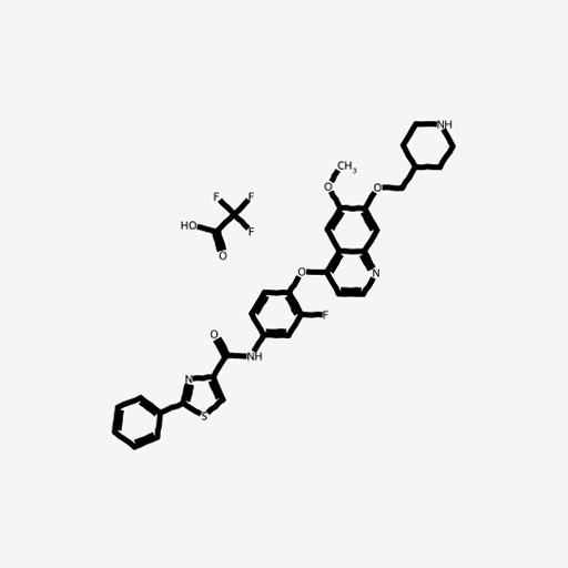 COc1cc2c(Oc3ccc(NC(=O)c4csc(-c5ccccc5)n4)cc3F)ccnc2cc1OCC1CCNCC1.O=C(O)C(F)(F)F